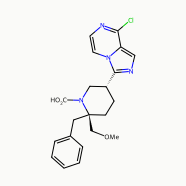 COC[C@]1(Cc2ccccc2)CC[C@@H](c2ncc3c(Cl)nccn23)CN1C(=O)O